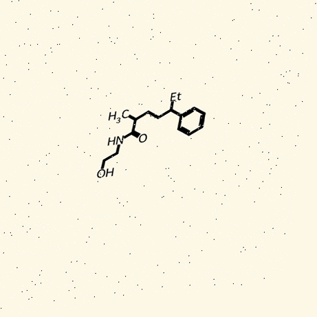 CCC(CCC(C)C(=O)NCCO)c1ccccc1